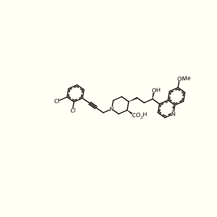 COc1ccc2nccc([C@H](O)CC[C@@H]3CCN(CC#Cc4cccc(Cl)c4Cl)C[C@@H]3C(=O)O)c2c1